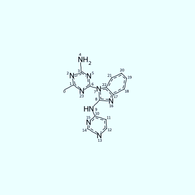 Cc1nc(N)nc(-n2c(Nc3ccncn3)nc3ccccc32)n1